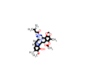 COc1c(C)cc2c(c1O)C1C3Cc4c(OC(C)=O)c(C)c5c(c4[C@H](CNC(=O)CC(C)C)N3[C@@H](C#N)[C@H](C2)N1C)OCO5